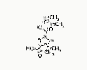 CC(C)(C)OC(=O)N1CC(C(=O)O)C(C)(C)C1